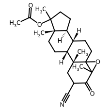 CC(=O)OC1(C)CC[C@H]2[C@@H]3CCC45OC4(C)C(=O)C(C#N)C[C@]5(C)[C@@H]3CC[C@@]21C